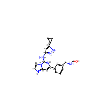 O=CNCc1cccc(-c2cc3nccn3c(Nc3cc(C4CC4)[nH]n3)n2)c1